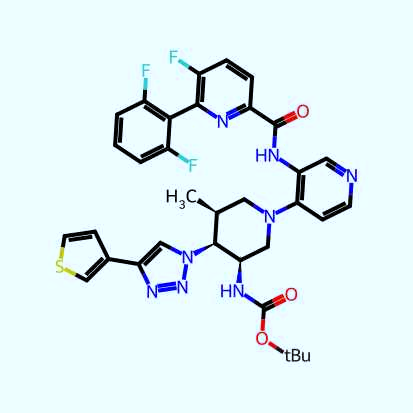 C[C@H]1CN(c2ccncc2NC(=O)c2ccc(F)c(-c3c(F)cccc3F)n2)C[C@@H](NC(=O)OC(C)(C)C)[C@H]1n1cc(-c2ccsc2)nn1